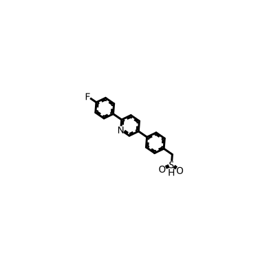 O=[SH](=O)Cc1ccc(-c2ccc(-c3ccc(F)cc3)nc2)cc1